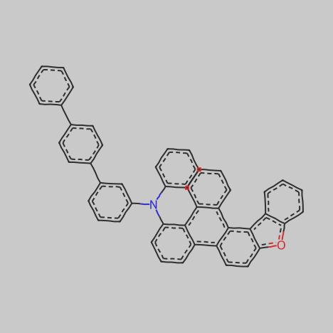 c1ccc(-c2ccc(-c3cccc(N(c4ccccc4)c4cccc5c6ccc7oc8ccccc8c7c6c6ccccc6c45)c3)cc2)cc1